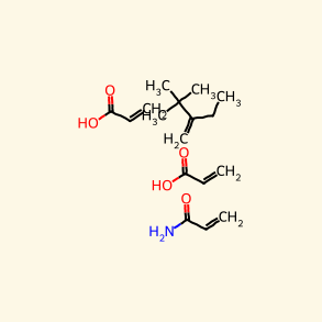 C=C(CC)C(C)(C)C.C=CC(=O)O.C=CC(=O)O.C=CC(N)=O